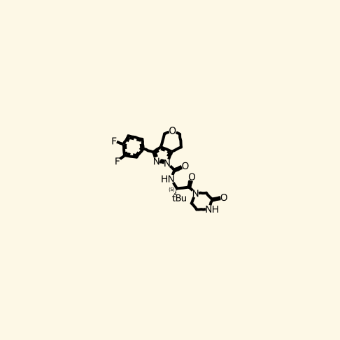 CC(C)(C)[C@H](NC(=O)n1nc(-c2ccc(F)c(F)c2)c2c1CCOC2)C(=O)N1CCNC(=O)C1